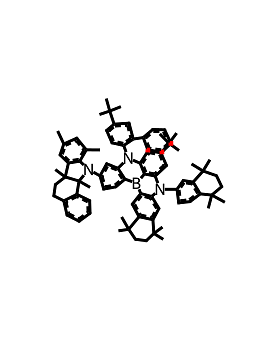 Cc1cc(C)c2c(c1)C1(C)CCc3ccccc3C1(C)N2c1ccc2c(c1)N(c1ccc(C(C)(C)C)cc1-c1ccccc1)c1cc(C(C)(C)C)cc3c1B2c1cc2c(cc1N3c1ccc3c(c1)C(C)(C)CCC3(C)C)C(C)(C)CCC2(C)C